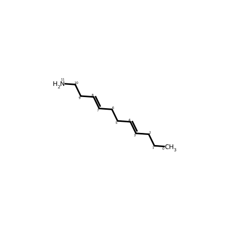 CCCC=CCCC=CCCN